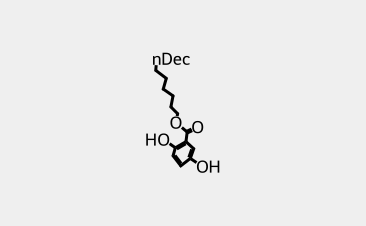 CCCCCCCCCCCCCCCCOC(=O)c1cc(O)ccc1O